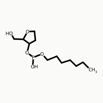 CCCCCCCOP(O)OC1CCOC1CO